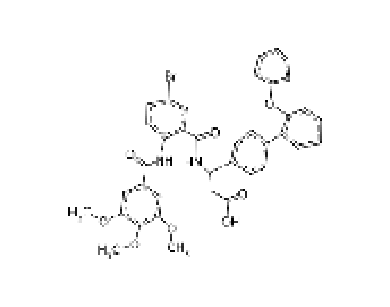 COc1cc(C(=O)Nc2ccc(Br)cc2C(=O)NC(CC(=O)O)c2ccc(-c3ccccc3Oc3ccccc3)cc2)cc(OC)c1OC